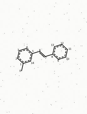 Cc1cc[c]c(C=Cc2ccccc2)c1